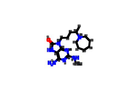 CCCCNc1nc(N)c2[nH]c(=O)n(CCCC(C)N3CCCCCC3)c2n1